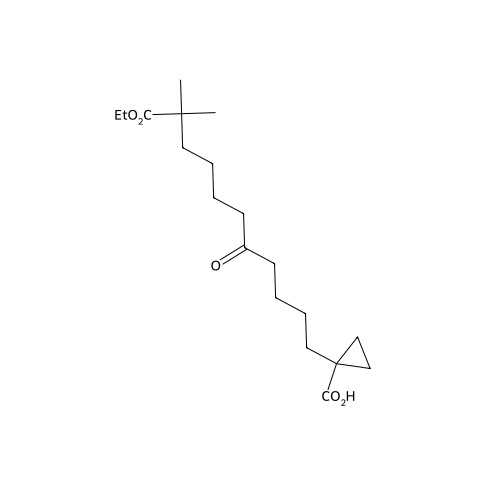 CCOC(=O)C(C)(C)CCCCC(=O)CCCCC1(C(=O)O)CC1